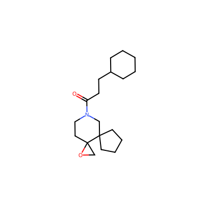 O=C(CCC1CCCCC1)N1CCC2(CO2)C2(CCCC2)C1